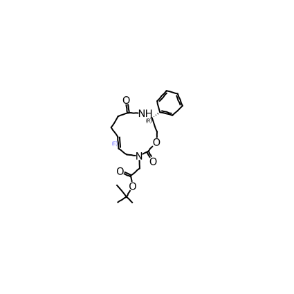 CC(C)(C)OC(=O)CN1C/C=C/CCC(=O)N[C@H](c2ccccc2)COC1=O